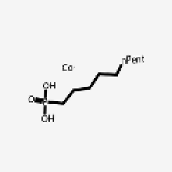 CCCCCCCCCCP(=O)(O)O.[Co]